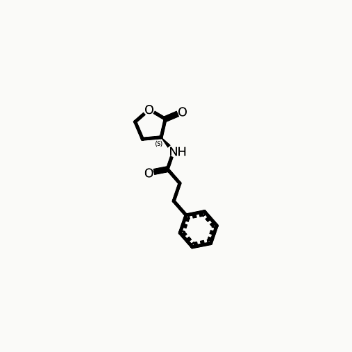 O=C(CCc1ccccc1)N[C@H]1CCOC1=O